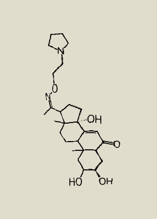 C/C(=N/OCCN1CCCC1)C1CC[C@@]2(O)C3=CC(=O)C4C[C@@H](O)C(O)CC4(C)C3CCC12C